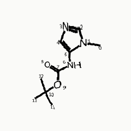 Cn1cncc1NC(=O)OC(C)(C)C